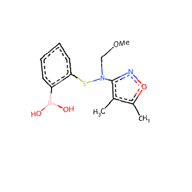 COCN(Sc1ccccc1B(O)O)c1noc(C)c1C